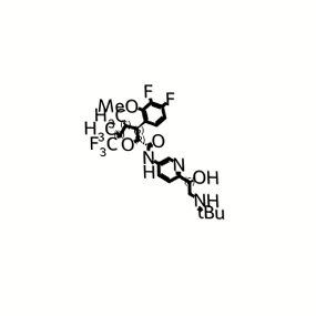 COc1c([C@H]2[C@H](C(=O)Nc3ccc([C@@H](O)CNC(C)(C)C)nc3)O[C@@](C)(C(F)(F)F)[C@H]2C)ccc(F)c1F